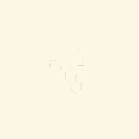 CC(C)(CCNC(=O)O)Nc1nc(-c2ccncc2)nc2cnccc12